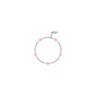 CCCCCCCCC1COCCOCCOCCOCCO1